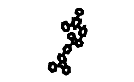 c1ccc(-c2nc(-c3ccccc3)nc(-c3cc(-c4cccc5c4c4ccccc4n5-c4ccc(-c5ccc6c(c5)c5ccccc5n6-c5ccccc5)cc4)ccn3)n2)cc1